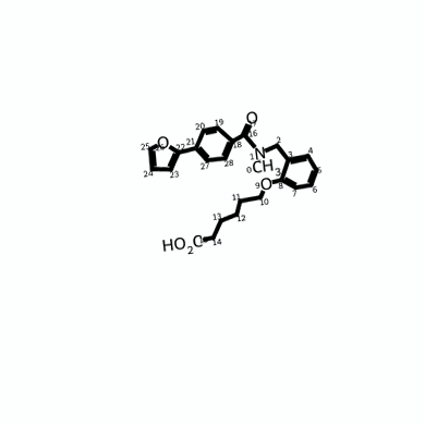 CN(Cc1ccccc1OCCCCCC(=O)O)C(=O)c1ccc(-c2ccco2)cc1